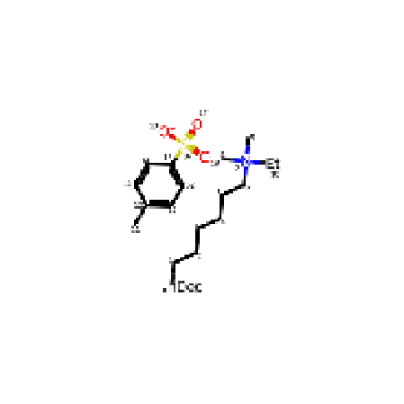 CCCCCCCCCCCCCCCC[N+](C)(C)CC.Cc1ccc(S(=O)(=O)[O-])cc1